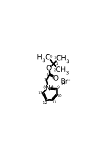 CC(C)(C)OC(=O)C[n+]1ccccc1.[Br-]